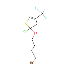 FC(F)(F)C1=CSC(Cl)(OCCCCBr)C1